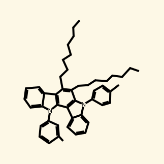 CCCCCCCCc1c(CCCCCCCC)c2c(c3ccccc3n2-c2ccc(C)cc2)c2c1c1ccccc1n2-c1cccc(C)c1